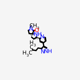 CC(C)CCc1n[nH]cc1-c1ccnc([C@H]2CC[C@@]3(CCN(C)C3=O)N2)c1